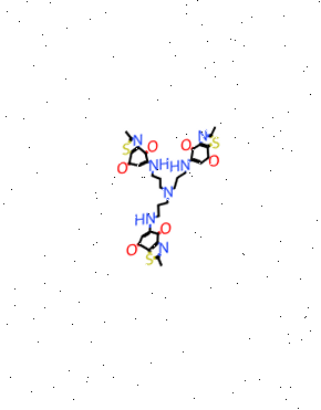 Cc1nc2c(s1)C(=O)C=C(NCCCN(CCCNC1=CC(=O)c3sc(C)nc3C1=O)CCCNC1=CC(=O)c3sc(C)nc3C1=O)C2=O